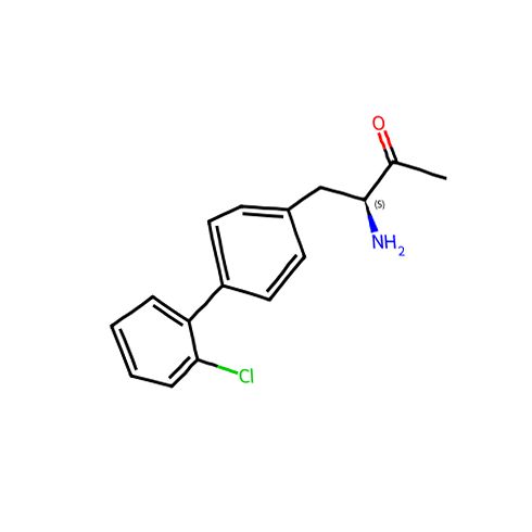 CC(=O)[C@@H](N)Cc1ccc(-c2ccccc2Cl)cc1